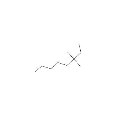 CCC[CH]CC(C)(C)CC